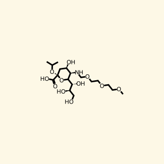 COCCOCCOCN[C@H]1C([C@H](O)[C@H](O)CO)O[C@@](OC(C)C)(C(=O)O)C[C@H]1O